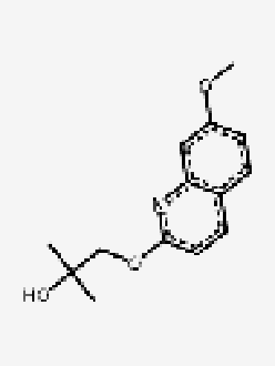 COc1ccc2ccc(OCC(C)(C)O)nc2c1